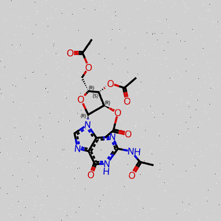 CC(=O)Nc1nc2c(ncn2[C@@H]2O[C@H](COC(C)=O)[C@H](OC(C)=O)[C@H]2OC(C)=O)c(=O)[nH]1